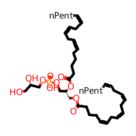 CCCCC/C=C\C/C=C\C/C=C\C/C=C\CCCC(=O)OC[C@H](COP(=O)(O)OC[C@@H](O)CO)OC(=O)CCCC/C=C\C/C=C\C/C=C\CCCCC